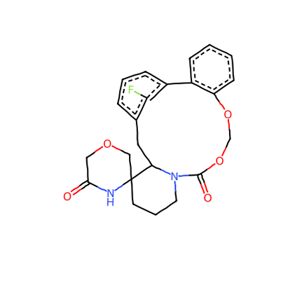 O=C1COCC2(CCCN3C(=O)OCOc4ccccc4-c4cccc(c4F)CC32)N1